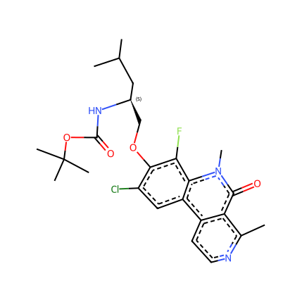 Cc1nccc2c1c(=O)n(C)c1c(F)c(OC[C@H](CC(C)C)NC(=O)OC(C)(C)C)c(Cl)cc21